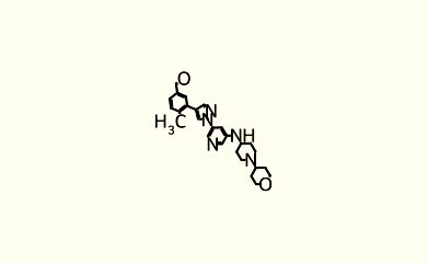 Cc1ccc(C=O)cc1-c1cnn(-c2cncc(NC3CCN(C4CCOCC4)CC3)c2)c1